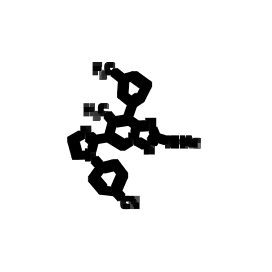 CC(=O)Nc1nc2c(-c3cccc(C(F)(F)F)c3)c(C)c(-c3nccn3-c3ccc(C#N)cc3)cn2n1